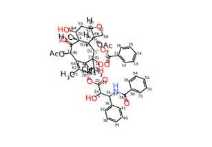 CC(=O)O[C@H]1C(=O)[C@@]2(C)[C@H]([C@H](OC(=O)c3ccccc3)[C@]3(O)C[C@H](OC(=O)C(O)C(NC(=O)c4ccccc4)c4ccccc4)C(C)=C1C3(C)C)[C@]1(OC(C)=O)CO[C@@H]1C[C@@H]2O